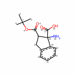 CC(C)(C)OC(=O)C1Cc2ccccc2C1(N)C(=O)O